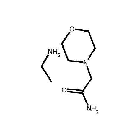 CCN.NC(=O)CN1CCOCC1